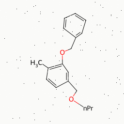 CCCOCc1ccc(C)c(OCc2ccccc2)c1